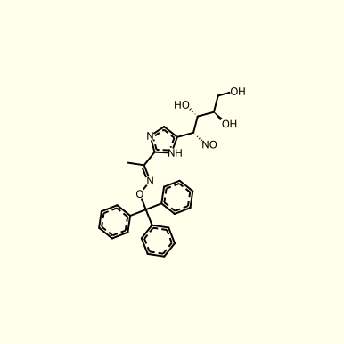 C/C(=N\OC(c1ccccc1)(c1ccccc1)c1ccccc1)c1ncc([C@@H](N=O)[C@H](O)[C@H](O)CO)[nH]1